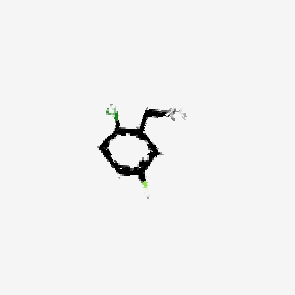 Fc1ccc(Cl)c(C[SiH3])c1